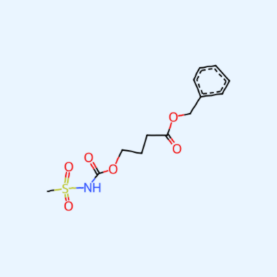 CS(=O)(=O)NC(=O)OCCCC(=O)OCc1ccccc1